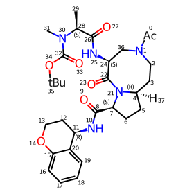 CC(=O)N1CC[C@H]2CC[C@@H](C(=O)N[C@@H]3CCOc4ccccc43)N2C(=O)[C@@H](NC(=O)[C@H](C)N(C)C(=O)OC(C)(C)C)C1